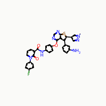 Cn1cc(-c2sc3ncnc(Oc4ccc(NC(=O)c5cccn(-c6ccc(F)cc6)c5=O)cc4)c3c2-c2cccc(N)c2)cn1